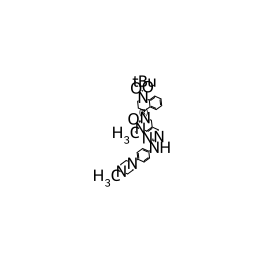 CN1CCN(c2ccc(Nc3ncc4c(n3)N(C)C(=O)N([C@@H]3CCN(C(=O)OC(C)(C)C)c5ccccc53)C4)cc2)CC1